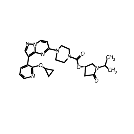 CC(C)N1C[C@H](OC(=O)N2CCN(c3ccn4ncc(-c5cccnc5OC5CC5)c4n3)CC2)CC1=O